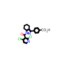 O=C(O)c1ccc(-c2nn(C(=O)c3c(Cl)ccnc3Cl)c3c2CCCC3)cc1